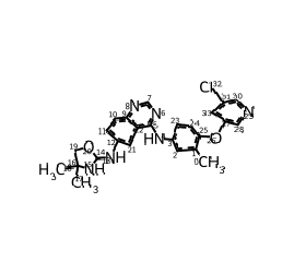 Cc1cc(Nc2ncnc3ccc(NC4NC(C)(C)CO4)cc23)ccc1Oc1cncc(Cl)c1